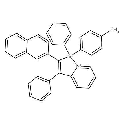 Cc1ccc([B-]2(c3ccccc3)C(c3ccc4ccccc4c3)=C(c3ccccc3)c3cccc[n+]32)cc1